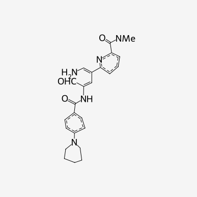 CNC(=O)c1cccc(C(/C=C(\C=O)NC(=O)c2ccc(N3CCCCC3)cc2)=C/N)n1